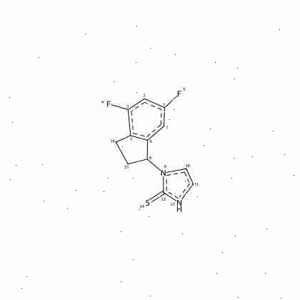 Fc1cc(F)c2c(c1)C(n1cc[nH]c1=S)CC2